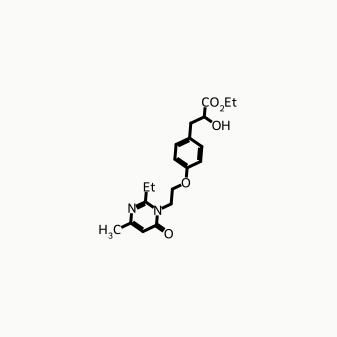 CCOC(=O)C(O)Cc1ccc(OCCn2c(CC)nc(C)cc2=O)cc1